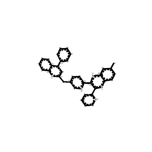 Cc1ccc2nc(-c3ccccn3)c(-c3ccc(Cc4cc(-c5ccccc5)c5ccccc5n4)cn3)nc2c1